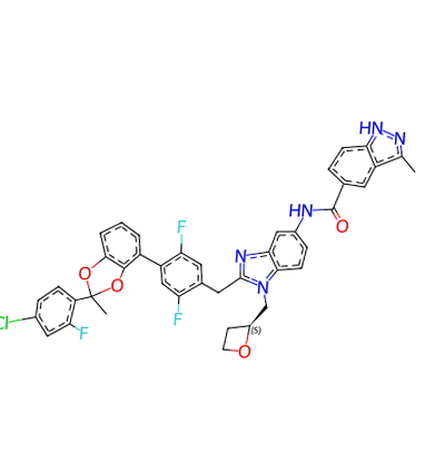 Cc1n[nH]c2ccc(C(=O)Nc3ccc4c(c3)nc(Cc3cc(F)c(-c5cccc6c5OC(C)(c5ccc(Cl)cc5F)O6)cc3F)n4C[C@@H]3CCO3)cc12